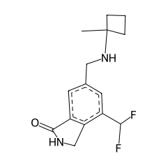 CC1(NCc2cc3c(c(C(F)F)c2)CNC3=O)CCC1